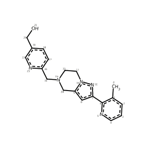 Cc1cccnc1-c1cc2n(n1)CCN(Cc1ccc(CO)cn1)C2